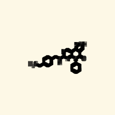 CCc1ccc(CNc2ncc3c4n[nH]cc4c(=O)n(-c4ccccc4)c3n2)cc1